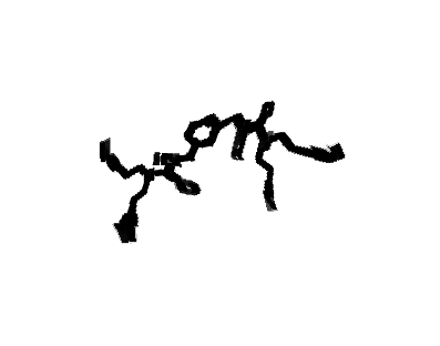 N#CCCN(CCC#N)C(=O)NCc1cccc(CNC(=O)N(CCC#N)CCC#N)c1